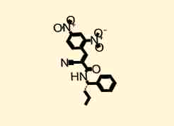 CCC[C@H](NC(=O)/C(C#N)=C/c1ccc([N+](=O)[O-])cc1[N+](=O)[O-])c1ccccc1